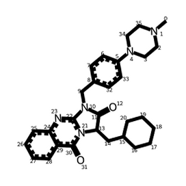 CN1CCN(c2ccc(CN3C(=O)C(CC4CCCCC4)n4c3nc3ccccc3c4=O)cc2)CC1